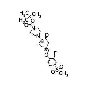 CC(C)(C)OC(=O)N1CCN([C@H]2CC[C@H](COc3ccc(S(C)(=O)=O)cc3F)CC2=O)CC1